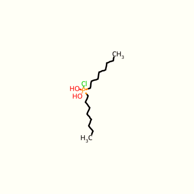 CCCCCCCCP(O)(O)(Cl)CCCCCCCC